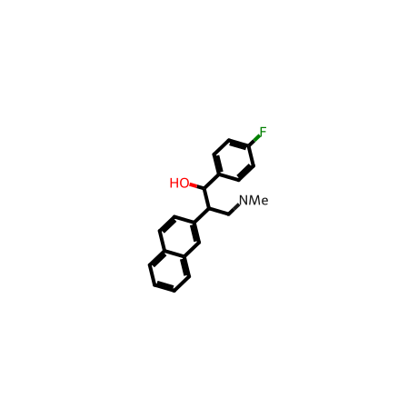 CNCC(c1ccc2ccccc2c1)C(O)c1ccc(F)cc1